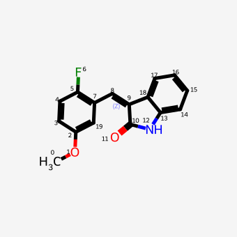 COc1ccc(F)c(/C=C2\C(=O)Nc3ccccc32)c1